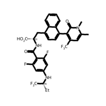 CC[C@@H](Nc1cc(F)c(C(=O)N[C@@H](Cc2ccc(-c3c(C(F)(F)F)cc(C)n(C)c3=O)c3ccccc23)C(=O)O)c(F)c1)C(F)(F)F